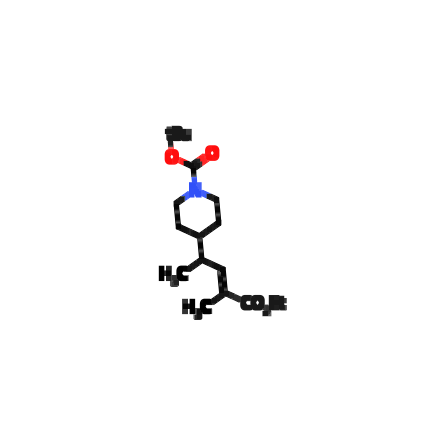 CCOC(=O)C(C)=CC(C)C1CCN(C(=O)OC(C)(C)C)CC1